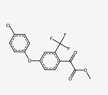 COC(=O)C(=O)c1ccc(Oc2ccc(Cl)cc2)cc1C(F)(F)F